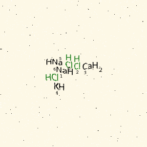 Cl.Cl.Cl.[CaH2].[KH].[NaH].[NaH]